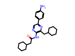 Nc1ccc(-c2cnc(NC(=O)CC3CCCCC3)c(CC3CCCCC3)n2)cc1